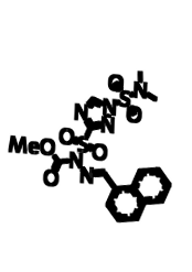 COC(=O)N(/N=C/c1cccc2ccccc12)S(=O)(=O)c1ncn(S(=O)(=O)N(C)C)n1